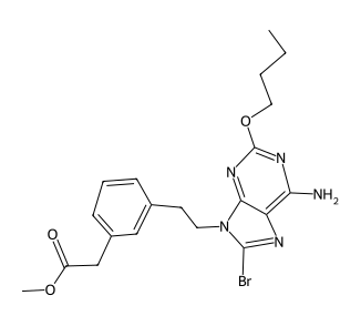 CCCCOc1nc(N)c2nc(Br)n(CCc3cccc(CC(=O)OC)c3)c2n1